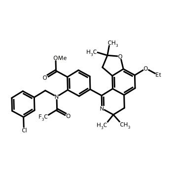 CCOc1cc2c(c3c1OC(C)(C)C3)C(c1ccc(C(=O)OC)c(N(Cc3cccc(Cl)c3)C(=O)C(F)(F)F)c1)=NC(C)(C)C2